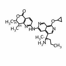 CCC[C@@](C)(N)c1cnc(OC2CC2)c2cnc(Nc3ccc4c(n3)[C@@H](C)[C@@H](C)OC4=O)cc12